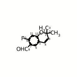 CC1(C)C=Cc2cc(C=O)c(F)cc2O1